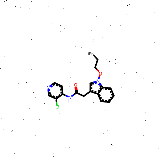 CC(C)CCOn1cc(CC(=O)Nc2ccncc2Cl)c2ccccc21